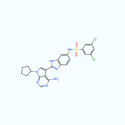 Nc1ncnc2c1c(-c1nc3ccc(NS(=O)(=O)c4cc(Cl)cc(Cl)c4)cc3[nH]1)cn2C1CCCC1